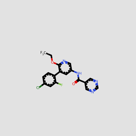 O=C(Nc1cnc(OCC(F)(F)F)c(-c2ccc(Cl)cc2F)c1)c1cncnc1